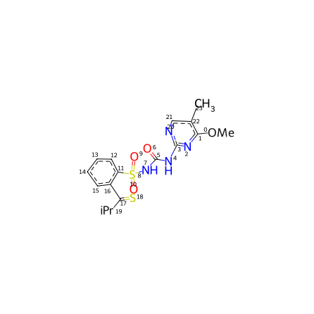 COc1nc(NC(=O)NS(=O)(=O)c2ccccc2C(=S)C(C)C)ncc1C